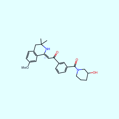 COc1ccc2c(c1)/C(=C/C(=O)c1cccc(C(=O)N3CCCC(O)C3)c1)NC(C)(C)C2